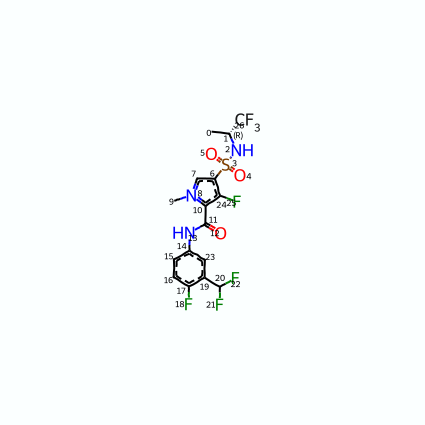 C[C@@H](NS(=O)(=O)c1cn(C)c(C(=O)Nc2ccc(F)c(C(F)F)c2)c1F)C(F)(F)F